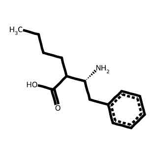 CCCCC(C(=O)O)[C@H](N)Cc1ccccc1